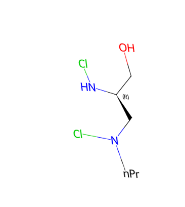 CCCN(Cl)C[C@H](CO)NCl